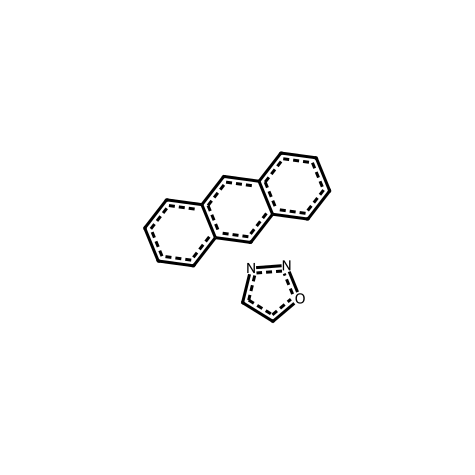 c1ccc2cc3ccccc3cc2c1.c1conn1